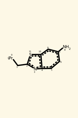 C[C](C)Cc1nc2ccc(N)cc2s1